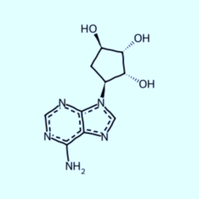 Nc1ncnc2c1ncn2[C@H]1C[C@@H](O)[C@H](O)[C@@H]1O